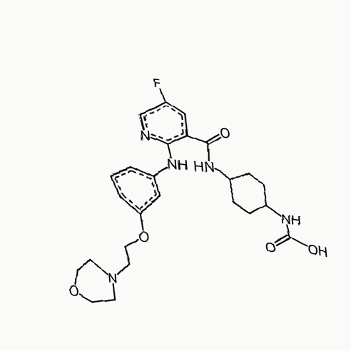 O=C(O)NC1CCC(NC(=O)c2cc(F)cnc2Nc2cccc(OCCN3CCOCC3)c2)CC1